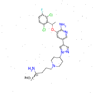 CC(Oc1cc(-c2cnn(C3CCN(CCC[C@H](N)C(=O)O)CC3)c2)cnc1N)c1c(Cl)ccc(F)c1Cl